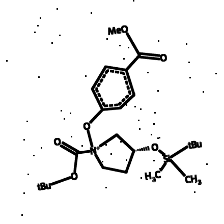 COC(=O)c1ccc(O[N+]2(C(=O)OC(C)(C)C)CC[C@@H](O[Si](C)(C)C(C)(C)C)C2)cc1